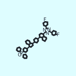 O=P(c1ccccc1)(c1ccccc1)c1ccc(-c2ccc(-c3ccc(-c4ccc(-c5nc(-c6ccc(F)cc6)nc(-c6ccc(F)cc6)n5)c5ccccc45)cc3)c3ccccc23)cc1